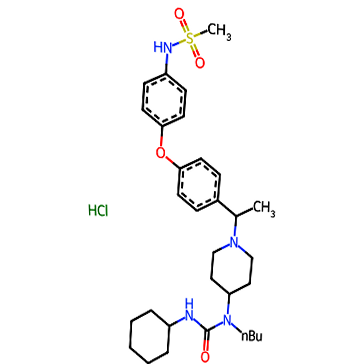 CCCCN(C(=O)NC1CCCCC1)C1CCN(C(C)c2ccc(Oc3ccc(NS(C)(=O)=O)cc3)cc2)CC1.Cl